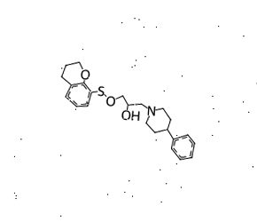 OC(COSc1cccc2c1OCCC2)CN1CCC(c2ccccc2)CC1